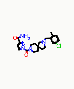 Cc1ccc(Cl)cc1CN1CCC2(CCN(C(=O)n3ccc(C(N)=O)n3)CC2)C1